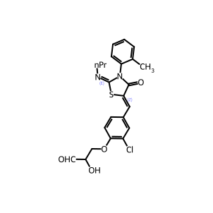 CCC/N=C1/S/C(=C\c2ccc(OCC(O)C=O)c(Cl)c2)C(=O)N1c1ccccc1C